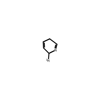 [2H]C1C=CCC=N1